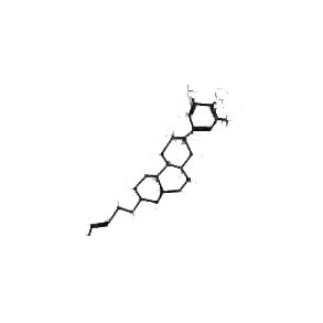 C/C=C/CCC1CCC2C(CCC3CC(c4cc(F)c(C(F)(F)F)c(F)c4)CCC32)C1